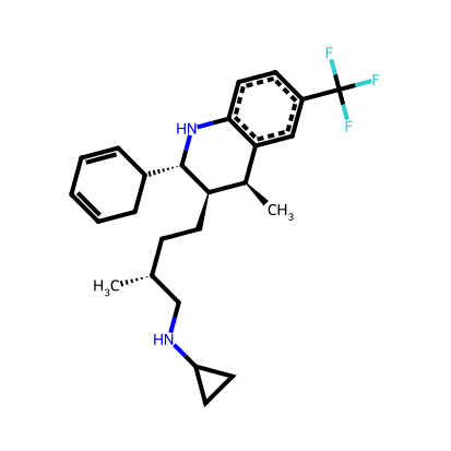 C[C@H](CC[C@@H]1[C@H](C)c2cc(C(F)(F)F)ccc2N[C@H]1C1C=CC=CC1)CNC1CC1